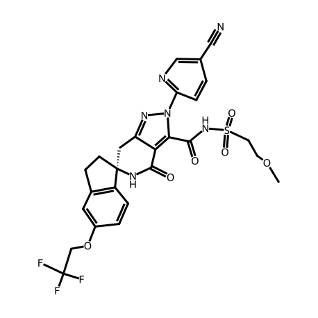 COCCS(=O)(=O)NC(=O)c1c2c(nn1-c1ccc(C#N)cn1)C[C@]1(CCc3cc(OCC(F)(F)F)ccc31)NC2=O